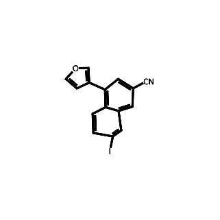 N#Cc1cc(-c2ccoc2)c2ccc(I)cc2c1